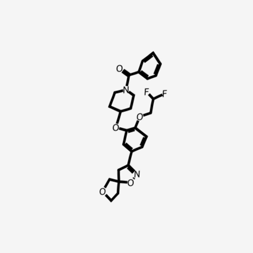 O=C(c1ccccc1)N1CCC(Oc2cc(C3=NOC4(CCOC4)C3)ccc2OCC(F)F)CC1